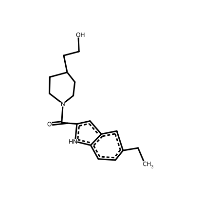 CCc1ccc2[nH]c(C(=O)N3CCC(CCO)CC3)cc2c1